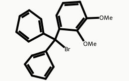 COc1cccc(C(Br)(c2ccccc2)c2ccccc2)c1OC